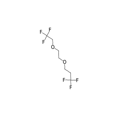 FC(F)(F)CCOCCOCC(F)(F)F